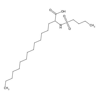 CCCCCCCCCCCCCCC(NS(=O)(=O)CCCC)C(=O)O